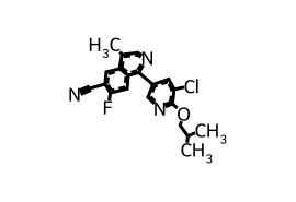 Cc1cnc(-c2cnc(OCC(C)C)c(Cl)c2)c2cc(F)c(C#N)cc12